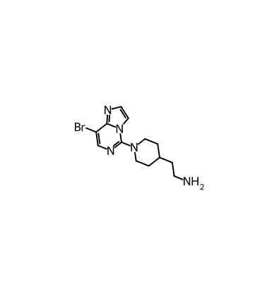 NCCC1CCN(c2ncc(Br)c3nccn23)CC1